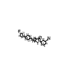 N#Cc1ccnc(N2Cc3nn(-c4ccc(N5CC[C@H](F)C5)nc4)cc3C2=O)c1